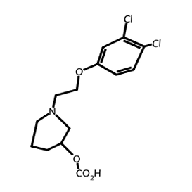 O=C(O)OC1CCCN(CCOc2ccc(Cl)c(Cl)c2)C1